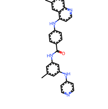 Cc1cc(NC(=O)c2ccc(Nc3ccnc4ccc(C)cc34)cc2)cc(Nc2ccncc2)c1